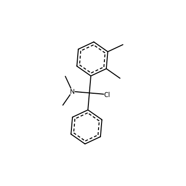 Cc1cccc(C(Cl)(c2ccccc2)N(C)C)c1C